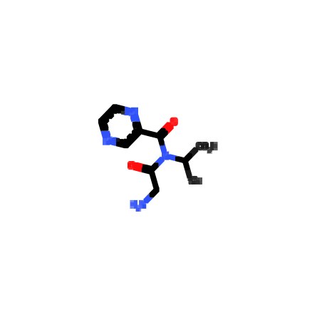 CC(C)(C)C(C(=O)O)N(C(=O)CN)C(=O)c1cnccn1